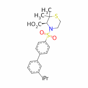 CC(C)c1cccc(-c2ccc(S(=O)(=O)N3CCSC(C)(C)[C@@H]3C(=O)O)cc2)c1